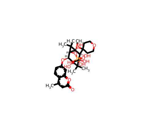 COC1([C@@]2(O)[C@]3(O)C(C)(C)[C@@]3(O)[C@@H](Oc3ccc4c(C)cc(=O)oc4c3)[C@]3(OP(=O)(O)O)C(C)(C)[C@]23O)CCOCC1